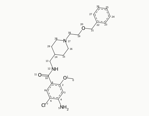 COc1cc(N)c(Cl)cc1C(=O)NCC1CCN(CCOCc2ccccc2)CC1